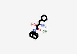 Cl.N[C@H](CC1CCCCC1)C(O)C(=O)NC12CC3CC(CC(C3)C1)C2